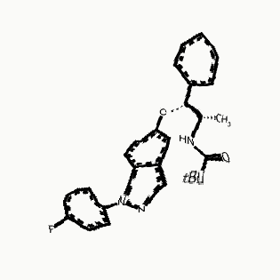 C[C@H](NC(=O)C(C)(C)C)[C@H](Oc1ccc2c(cnn2-c2ccc(F)cc2)c1)c1ccccc1